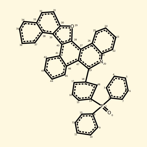 O=P(c1ccccc1)(c1ccccc1)c1cccc(-c2nc3ccccc3c3c4oc5ccc6ccccc6c5c4c4ccccc4c23)c1